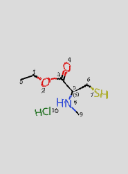 CCOC(=O)[C@@H](CS)NC.Cl